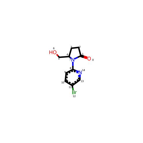 O=C1CCC(CO)N1c1ccc(Br)cn1